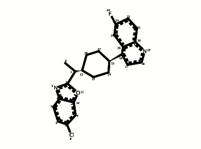 CC(c1nc2ccc(Cl)cc2o1)[C@H]1CC[C@H](c2ccnc3ccc(F)cc32)CC1